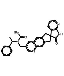 CC(c1ccccc1)N(Cc1cnc2cc3c(cc2c1)CC1(C3)C(=O)Nc2ncccc21)C(=O)C(C)(C)C